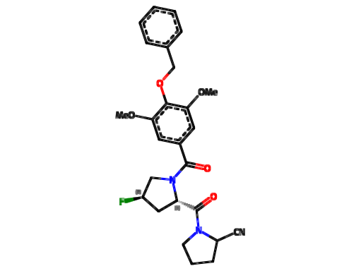 COc1cc(C(=O)N2C[C@H](F)C[C@H]2C(=O)N2CCCC2C#N)cc(OC)c1OCc1ccccc1